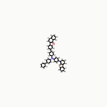 c1ccc(-c2ccc(N(c3ccc(-c4ccc5c(c4)oc4c6ccccc6ccc54)cc3)c3ccc(-c4cccc5c4sc4ccccc45)cc3)cc2)cc1